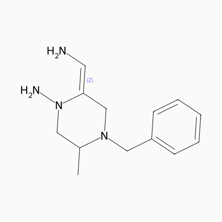 CC1CN(N)/C(=C\N)CN1Cc1ccccc1